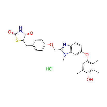 Cc1cc(Oc2ccc3nc(COc4ccc(CC5SC(=O)NC5=O)cc4)n(C)c3c2)c(C)c(C)c1O.Cl